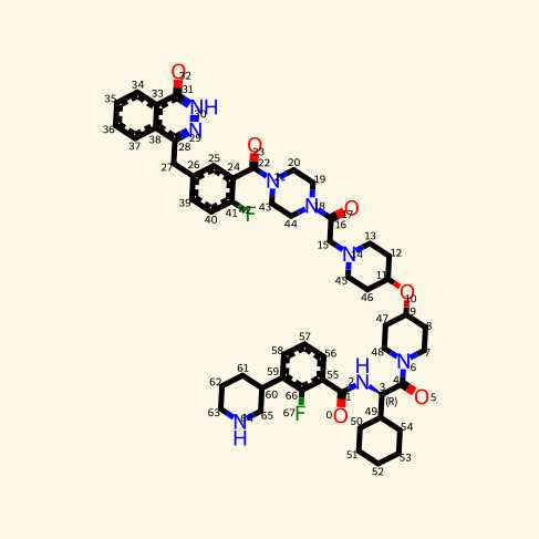 O=C(N[C@@H](C(=O)N1CCC(OC2CCN(CC(=O)N3CCN(C(=O)c4cc(Cc5n[nH]c(=O)c6ccccc56)ccc4F)CC3)CC2)CC1)C1CCCCC1)c1cccc(C2CCCNC2)c1F